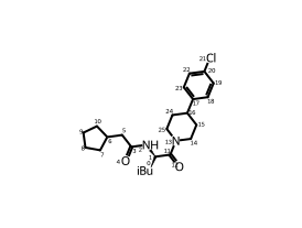 CC[C@H](C)[C@@H](NC(=O)CC1CCCC1)C(=O)N1CCC(c2ccc(Cl)cc2)CC1